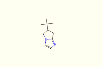 CC(C)(C)C1Cc2nccn2C1